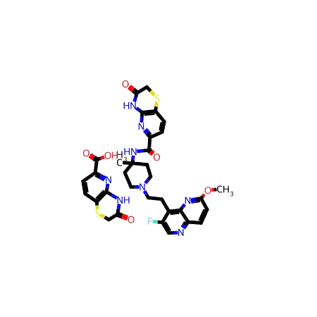 COc1ccc2ncc(F)c(CCN3CCC(C)(NC(=O)c4ccc5c(n4)NC(=O)CS5)CC3)c2n1.O=C1CSc2ccc(C(=O)O)nc2N1